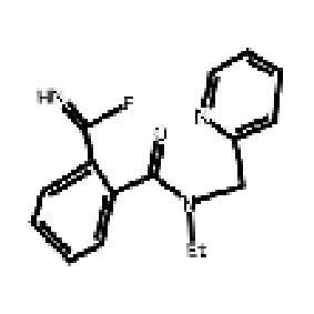 CCN(Cc1ccccn1)C(=O)c1ccccc1C(=N)F